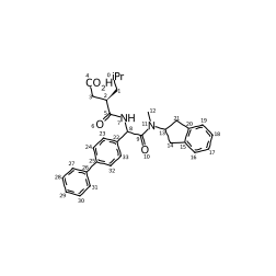 CC(C)C[C@H](CC(=O)O)C(=O)NC(C(=O)N(C)C1Cc2ccccc2C1)c1ccc(-c2ccccc2)cc1